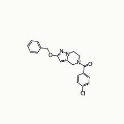 O=C(c1ccc(Cl)cc1)N1CCn2nc(OCc3ccccc3)cc2C1